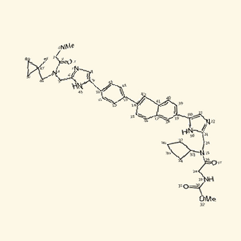 CNCC(=O)N(Cc1ncc(-c2ccc(-c3ccc4cc(-c5cnc(CN(C(=O)CNC(=O)OC)C6CCCC6)[nH]5)ccc4c3)cc2)[nH]1)CC1(C)CC1